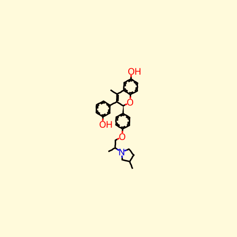 CC1=C(c2cccc(O)c2)[C@H](c2ccc(OCC(C)N3CCC(C)C3)cc2)Oc2ccc(O)cc21